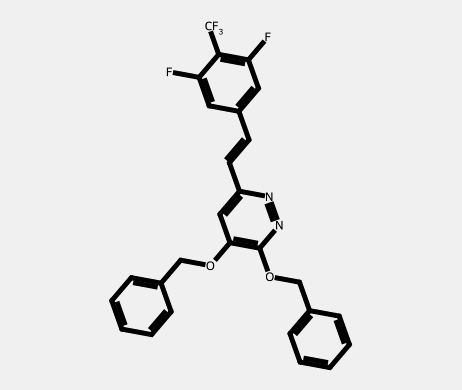 Fc1cc(C=Cc2cc(OCc3ccccc3)c(OCc3ccccc3)nn2)cc(F)c1C(F)(F)F